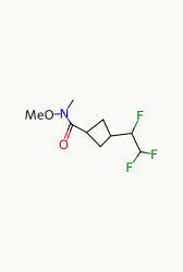 CON(C)C(=O)C1CC(C(F)C(F)F)C1